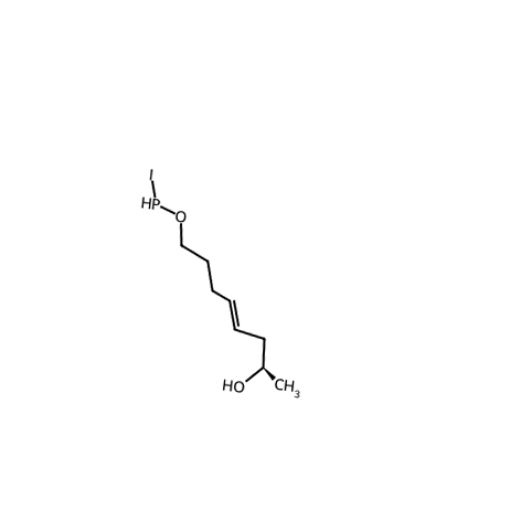 C[C@@H](O)C/C=C/CCCOPI